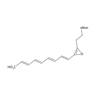 CCCCCCCCCCCC1=C(C=CC=CC=CC=CC(=O)O)O1